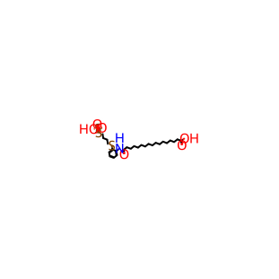 O=C(O)CCCCCCCCCCCCCCCC(=O)Nc1ccccc1SCCCCSS(=O)(=O)O